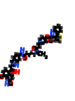 CN(CCCCC(=O)Nc1ccc(CNCC(O)c2ccc(O)c3[nH]c(=O)ccc23)cc1)C(=O)CCN1CCC(OC(=O)Nc2ccsc2-c2ccccc2)CC1